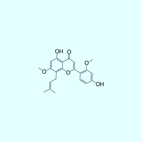 COc1cc(O)ccc1-c1cc(=O)c2c(O)cc(OC)c(CC=C(C)C)c2o1